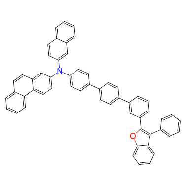 c1ccc(-c2c(-c3cccc(-c4ccc(-c5ccc(N(c6ccc7ccccc7c6)c6ccc7c(ccc8ccccc87)c6)cc5)cc4)c3)oc3ccccc23)cc1